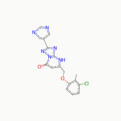 Cc1c(Cl)cccc1OCc1cc(=O)n2nc(-c3cncnc3)nc2[nH]1